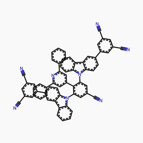 N#Cc1cc(C#N)cc(-c2ccc3c(c2)c2ccccc2n3-c2cc(C#N)cc(-n3c4ccccc4c4cc(-c5cc(C#N)cc(C#N)c5)ccc43)c2-c2cc(-c3ccccc3)nc(-c3ccccc3)c2)c1